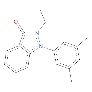 CCn1c(=O)c2ccccc2n1-c1cc(C)cc(C)c1